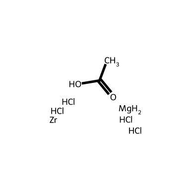 CC(=O)O.Cl.Cl.Cl.Cl.[MgH2].[Zr]